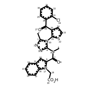 Cc1nnc(N(C)C(=O)c2cc3ccccc3n2CC(=O)O)n1-c1sccc1C(=O)c1ccccc1Cl